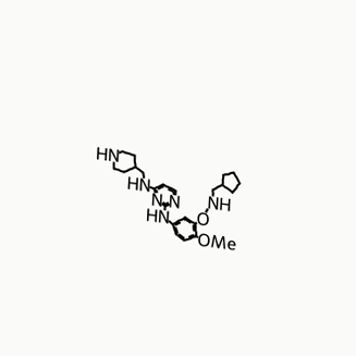 COc1ccc(Nc2nccc(NCC3CCNCC3)n2)cc1OCNCC1CCCC1